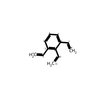 C=Cc1c[c]cc(C=C)c1C=C